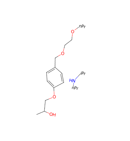 CCCNC(C)C.CCCOCCOCc1ccc(OCC(C)O)cc1